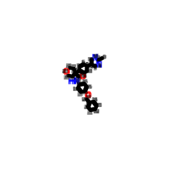 Cc1ncc(-c2ccc(C3(C(=O)Nc4ccc(OCc5ccccc5)cc4)CCOCC3)cc2)cn1